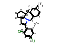 CCC[C@@H](c1ccc(C(F)(F)F)cc1)n1c(-c2ccc(Cl)cc2Cl)cc2c1C(CC(=O)O)CCC2